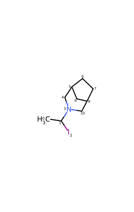 CC(I)N1CC2CCC(C2)C1